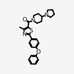 Cc1nc(-c2ccc(Oc3ccccc3)cc2)sc1C(=O)N1CCC(N2CCCC2)CC1